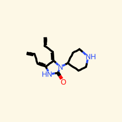 C=C/C=c1/[nH]c(=O)n(C2CCNCC2)/c1=C/C=C